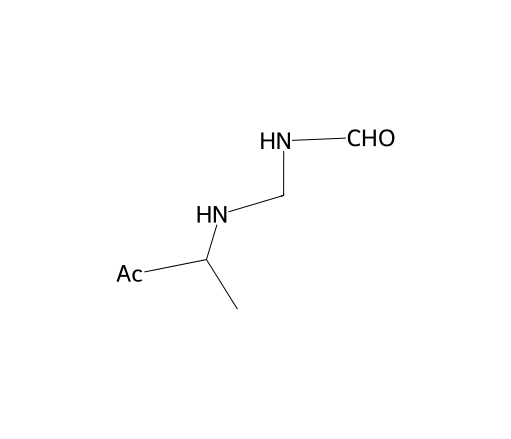 CC(=O)C(C)NCNC=O